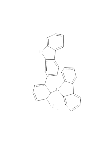 NC1C=CC=C(c2ccc3c(c2)oc2ccccc23)C1n1c2ccccc2c2ccccc21